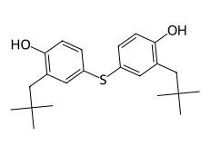 CC(C)(C)Cc1cc(Sc2ccc(O)c(CC(C)(C)C)c2)ccc1O